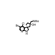 CNC[C@]1(O)CC[C@@]2(CNc3ncc(Br)c(Cl)c32)C1